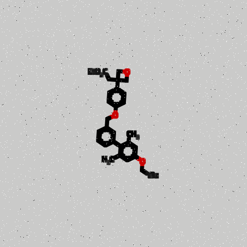 CCOC(=O)CC1(c2ccc(OCc3cccc(-c4c(C)cc(OCC(C)(C)C)cc4C)c3)cc2)COC1